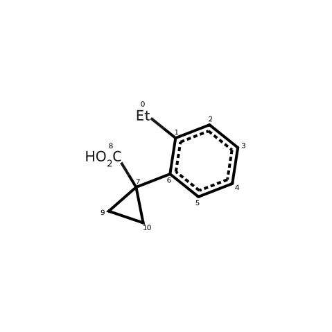 CCc1ccccc1C1(C(=O)O)CC1